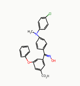 CN(c1ccc(Cl)cc1)c1ccc(C(=NO)c2cc(Oc3ccccc3)cc(C(=O)O)c2)cc1